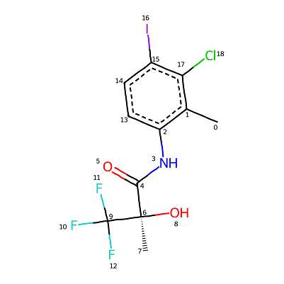 Cc1c(NC(=O)[C@@](C)(O)C(F)(F)F)ccc(I)c1Cl